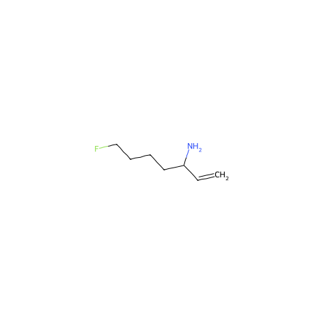 C=CC(N)CCCCF